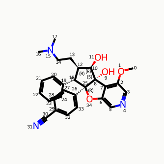 COc1cncc2c1[C@]1(O)[C@H](O)[C@H](CCN(C)C)[C@@H](c3ccccc3)[C@]1(c1ccc(C#N)cc1)O2